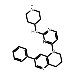 c1ccc(-c2cnc3c(c2)N(c2ccnc(NC4CCNCC4)n2)CCC3)cc1